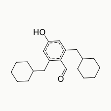 O=Cc1c(CC2CCCCC2)cc(O)cc1CC1CCCCC1